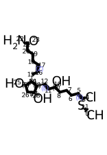 C#CS/C(Cl)=C\CCC[C@H](O)/C=C/[C@@H]1[C@@H](C/C=C\CCCC(N)=O)[C@@H](O)C[C@H]1O